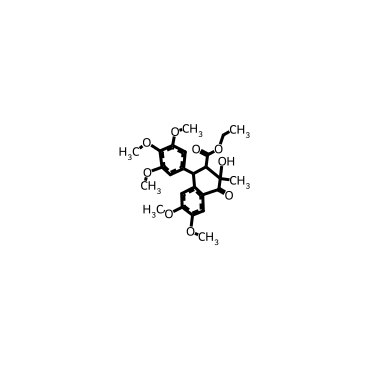 CCOC(=O)C1C(c2cc(OC)c(OC)c(OC)c2)c2cc(OC)c(OC)cc2C(=O)C1(C)O